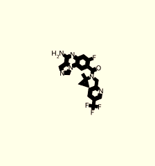 CC1(N(Cc2ccc(C(F)(F)F)cn2)C(=O)c2cc3c(cc2F)nc(N)c2cncn23)CC1